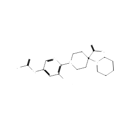 CCCCC(=O)Nc1cnc(N2CCC(C(N)=O)(N3CCCCC3)CC2)c(C(=O)O)c1